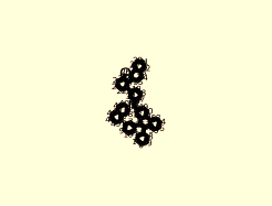 c1ccc(-c2c(-c3ccccc3)c3cc(N(c4cccc(-c5cccc6oc7c8ccccc8ccc7c56)c4)c4ccc5ccccc5c4)ccc3c3ccccc23)cc1